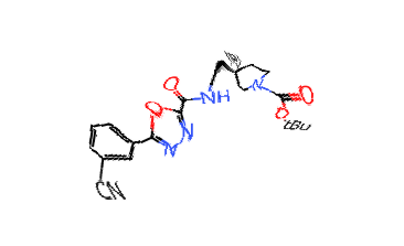 CC(C)(C)OC(=O)N1CC[C@H](CNC(=O)c2nnc(-c3cccc(C#N)c3)o2)C1